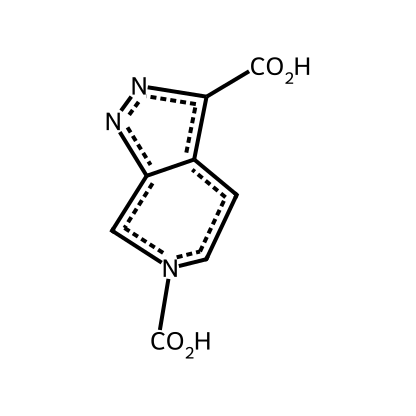 O=C(O)c1nnc2cn(C(=O)O)ccc1-2